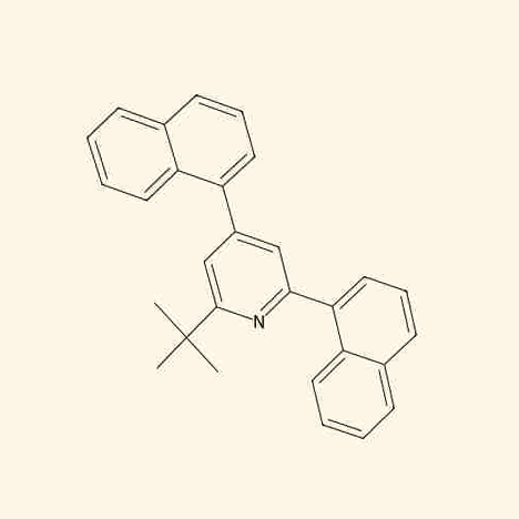 CC(C)(C)c1cc(-c2cccc3ccccc23)cc(-c2cccc3ccccc23)n1